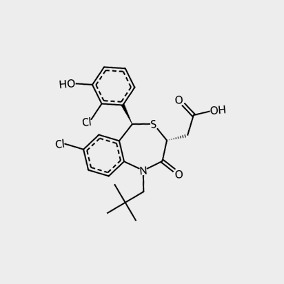 CC(C)(C)CN1C(=O)[C@@H](CC(=O)O)S[C@H](c2cccc(O)c2Cl)c2cc(Cl)ccc21